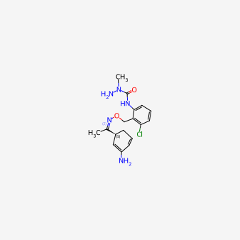 C/C(=N/OCc1c(Cl)cccc1NC(=O)N(C)N)[C@@H]1C=C(N)C=CC1